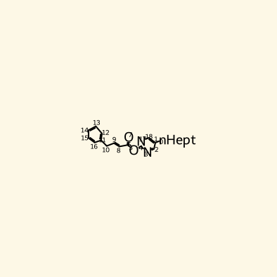 CCCCCCCc1cnc(OC(=O)/C=C/Cc2ccccc2)nc1